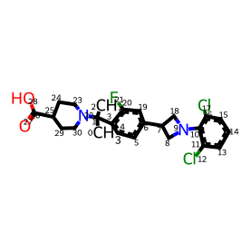 CC(C)(c1ccc(C2CN(c3c(Cl)cccc3Cl)C2)cc1F)N1CCC(C(=O)O)CC1